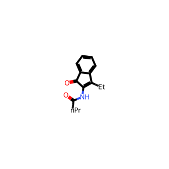 CCCC(=O)NC1=C(CC)c2ccccc2C1=O